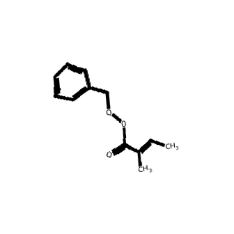 CC=C(C)C(=O)OOCc1ccccc1